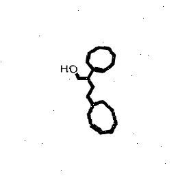 OCC(CCC1CC=CCCCC1)C1=CCCCCCC1